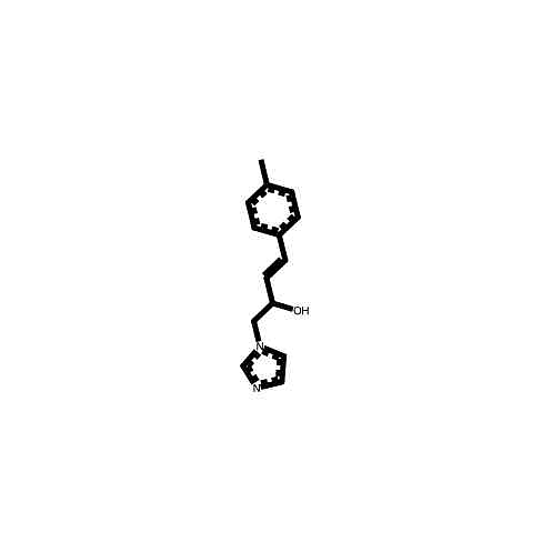 Cc1ccc(C=CC(O)Cn2ccnc2)cc1